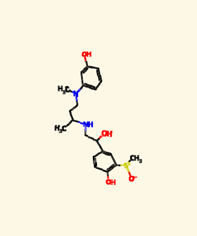 CC(CCN(C)c1cccc(O)c1)NCC(O)c1ccc(O)c([S+](C)[O-])c1